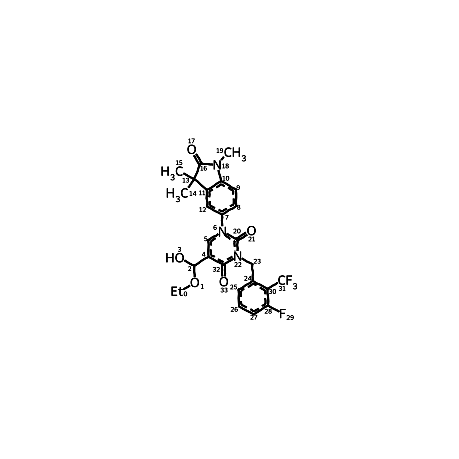 CCOC(O)c1cn(-c2ccc3c(c2)C(C)(C)C(=O)N3C)c(=O)n(Cc2cccc(F)c2C(F)(F)F)c1=O